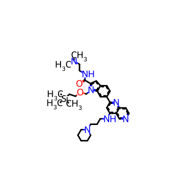 CN(C)CCNC(=O)c1cc2ccc(-c3cc(NCCCN4CCCCC4)c4cnccc4n3)cc2n1COCC[Si](C)(C)C